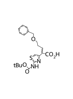 CC(C)(C)OC(=O)Nc1nc(C(=CCCOCc2ccccc2)C(=O)O)cs1